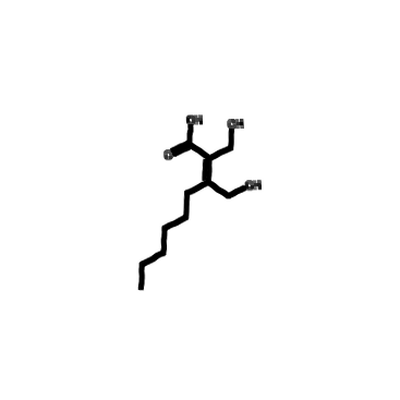 CCCCCCC(CO)=C(CO)C(=O)O